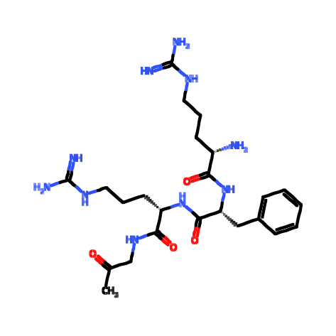 CC(=O)CNC(=O)[C@H](CCCNC(=N)N)NC(=O)[C@@H](Cc1ccccc1)NC(=O)[C@@H](N)CCCNC(=N)N